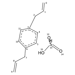 C=CCc1ccc(CC=C)cc1.O=[SH](=O)O